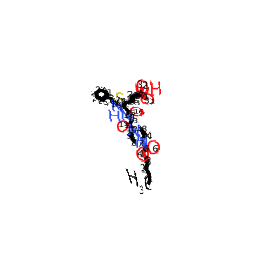 CCCCOC(=O)N1CCN(C(=O)CNC(=O)c2nc(-c3ccccc3)sc2C=CC(=O)O)CC1